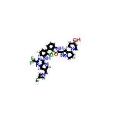 O=C(Nc1cccc(-c2cccc(Nc3nc(C(F)F)nc4cc(CN5CC(F)C5)cnc34)c2Cl)c1Cl)c1cc2n(n1)CCC[C@H]2N1CCC(O)CC1